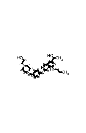 CCCNc1nc(C(C)O)cc2cnc(Nc3ccc(CN4CCN(CCO)CC4)cn3)nc12